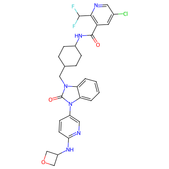 O=C(NC1CCC(Cn2c(=O)n(-c3ccc(NC4COC4)nc3)c3ccccc32)CC1)c1cc(Cl)cnc1C(F)F